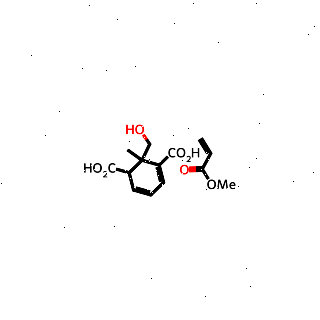 C=CC(=O)OC.CC1(CO)C(C(=O)O)=CC=CC1C(=O)O